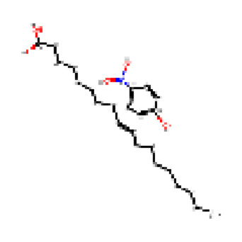 CCCCCCCCC=CCCCCCCCC(=O)O.O=[N+]([O-])c1ccc(O)cc1